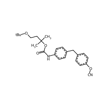 CC(C)(C)OCCC(C)(C)OC(=O)Nc1ccc(Cc2ccc(OC#N)cc2)cc1